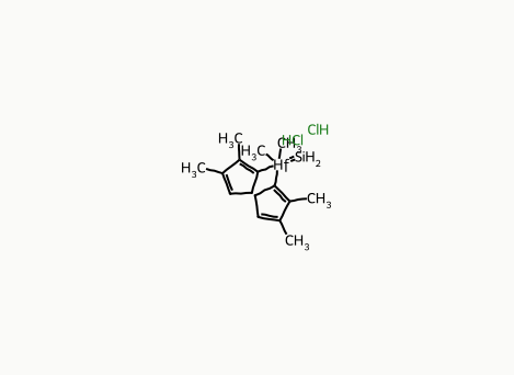 CC1=CC[C]([Hf]([CH3])([CH3])(=[SiH2])[C]2=C(C)C(C)=CC2)=C1C.Cl.Cl